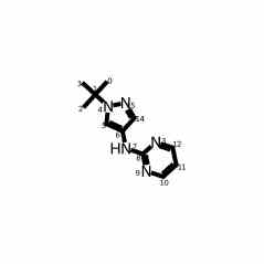 CC(C)(C)n1cc(Nc2ncccn2)cn1